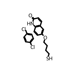 Clc1ccc(Cl)cc1.O=c1ccc2cc(OCCCCS)ccc2[nH]1